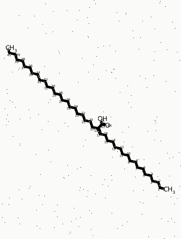 CCCCCCCCCCCCCCCCCC=C(CCCCCCCCCCCCCCCCCCCCCCCC)C(=O)O